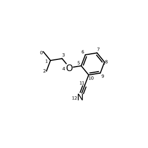 CC(C)COc1cc[c]cc1C#N